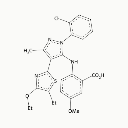 CCOc1nc(-c2c(C)nn(-c3ccccc3Cl)c2Nc2ccc(OC)cc2C(=O)O)sc1CC